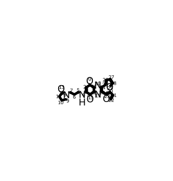 O=C1C=C(NCCCN2CCCC2=O)C(=O)c2nc(-c3ccco3)c(-c3ccco3)nc21